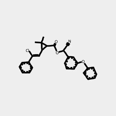 CC1(C)C(/C=C(\Cl)c2ccccc2)C1C(=O)OC(C#N)c1cccc(Oc2ccccc2)c1